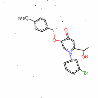 COc1ccc(COc2cn(-c3cccc(Br)c3)c(C(C)O)cc2=O)cc1